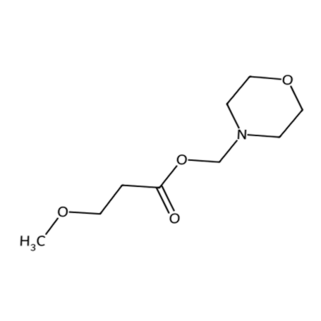 COCCC(=O)OCN1CCOCC1